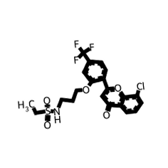 CCS(=O)(=O)NCCCOc1cc(C(F)(F)F)ccc1-c1cc(=O)c2cccc(Cl)c2o1